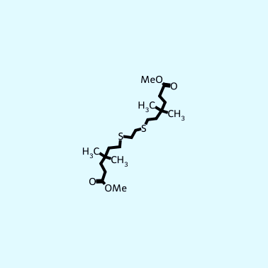 COC(=O)CCC(C)(C)CCSCCSCCC(C)(C)CCC(=O)OC